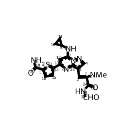 CN/C(=C\c1cnn2c(NC3CC3)cc(-c3ccc(C(N)=O)s3)nc12)C(=O)NC=O